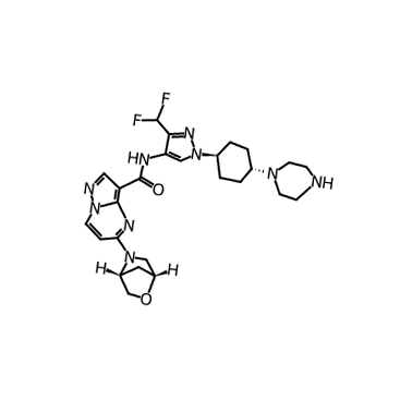 O=C(Nc1cn([C@H]2CC[C@H](N3CCNCC3)CC2)nc1C(F)F)c1cnn2ccc(N3C[C@H]4C[C@@H]3CO4)nc12